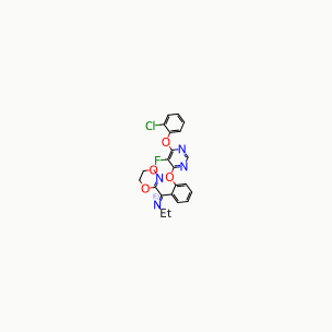 CC/N=C(/C1=NOCCO1)c1ccccc1Oc1ncnc(Oc2ccccc2Cl)c1F